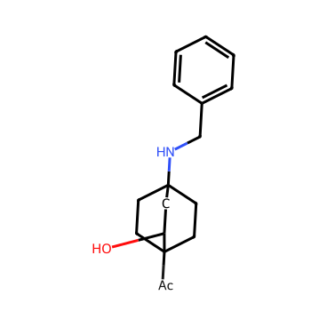 CC(=O)C12CCC(NCc3ccccc3)(CC1)CC2O